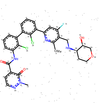 COc1nc(-c2cccc(-c3cccc(NC(=O)c4ccnn(C)c4=O)c3Cl)c2Cl)cc(F)c1CN[C@@H]1CCOC[C@@H]1O